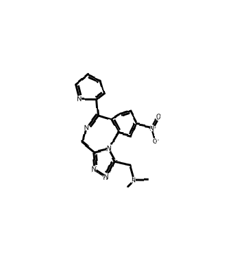 CN(C)Cc1nnc2n1-c1cc([N+](=O)[O-])ccc1C(c1ccccn1)=NC2